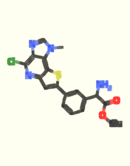 Cn1cnc2c(Cl)nc3cc(-c4cccc(C(N)C(=O)OC(C)(C)C)c4)sc3c21